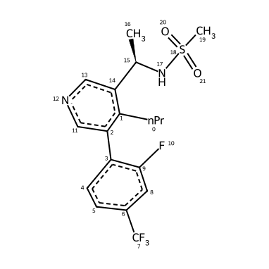 CCCc1c(-c2ccc(C(F)(F)F)cc2F)cncc1[C@@H](C)NS(C)(=O)=O